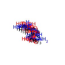 CC(C)C[C@H](NC(=O)[C@H](CC(=O)O)NC(=O)[C@@H](N)Cc1c[nH]cn1)C(=O)N[C@@H](CC(=O)O)C(=O)N[C@H](C(=O)N[C@@H](CC(C)C)C(=O)N[C@@H](CO)C(=O)NCC(=O)N1CCC[C@H]1C(=O)N[C@@H](Cc1ccccc1)C(=O)N[C@H](C(=O)N[C@@H](Cc1ccc(O)cc1)C(=O)N[C@H](C(=O)N[C@@H](C)C(=O)N[C@@H](CCCCN)C(=O)O)[C@@H](C)O)[C@@H](C)O)[C@@H](C)O